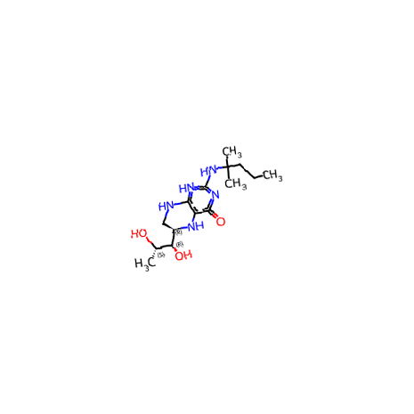 CCCC(C)(C)Nc1nc(=O)c2c([nH]1)NC[C@H]([C@@H](O)[C@H](C)O)N2